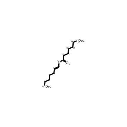 CCCCCCCCCCCCCCC=COC(=O)CCCCCCCCCCCCCCC